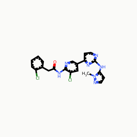 Cn1nccc1Nc1nccc(-c2cnc(NC(=O)Cc3ccccc3Cl)c(Cl)c2)n1